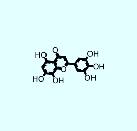 O=c1cc(-c2cc(O)c(O)c(O)c2)oc2c(O)c(O)cc(O)c12